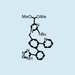 CCCCc1nc(C(OC)OC)cn1Cc1ccc(-c2ccccc2-c2nnn[nH]2)c(-c2ccccn2)c1